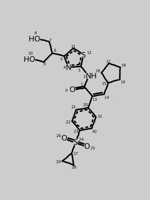 O=C(Nc1nc(C(CO)CO)cs1)C(=CC1CCCC1)c1ccc(S(=O)(=O)C2CC2)cc1